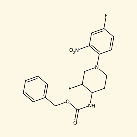 O=C(NC1CCN(c2ccc(F)cc2[N+](=O)[O-])CC1F)OCc1ccccc1